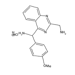 COc1ccc(C(N)c2nc(CN)nc3ccccc23)cc1.Cl.Cl